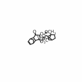 CC1(C)C2CCC1(C)C(S(=O)(=O)ON1C(=O)C3C4C=CC(C4)C3C1=O)C2